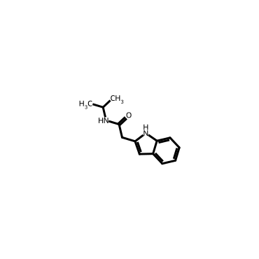 CC(C)NC(=O)Cc1cc2ccccc2[nH]1